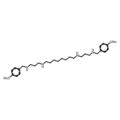 CSc1ccc(CNCCCNCCCCCCCCNCCCNCc2ccc(SC)cc2)cc1